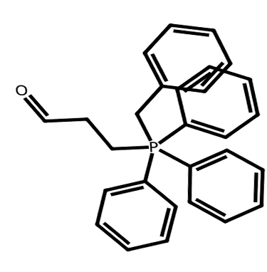 O=CCCP(Cc1ccccc1)(c1ccccc1)(c1ccccc1)c1ccccc1